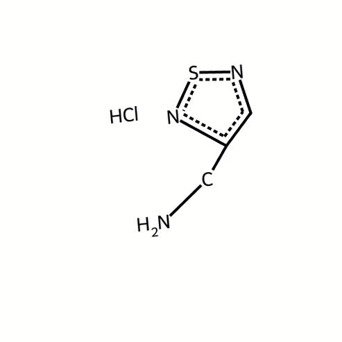 Cl.NCc1cnsn1